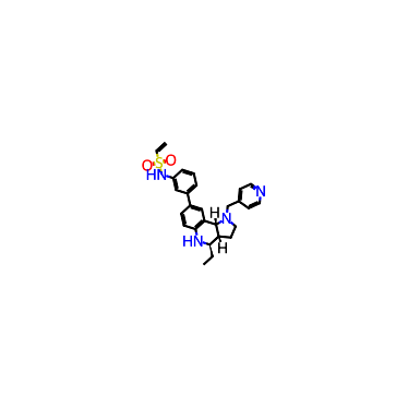 C=CS(=O)(=O)Nc1cccc(-c2ccc3c(c2)[C@H]2[C@H](CCN2Cc2ccncc2)[C@@H](CC)N3)c1